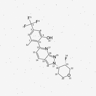 Cc1cc(C(F)(F)F)cc(O)c1-c1ccc2cn([C@H]3CCOC[C@H]3F)nc2n1